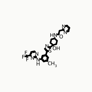 Cc1cc(Nc2nccc(C(F)(F)F)n2)cc(-c2cnc([C@]3(O)CC[C@@H](NC(=O)Cc4ncccn4)CC3)s2)c1